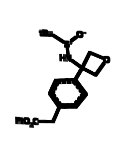 CCOC(=O)Cc1ccc(C2(N[S+]([O-])C(C)(C)C)COC2)cc1